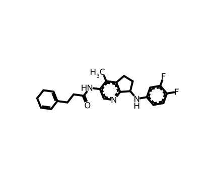 Cc1c(NC(=O)CCC2=CCCC=C2)cnc2c1CCC2Nc1ccc(F)c(F)c1